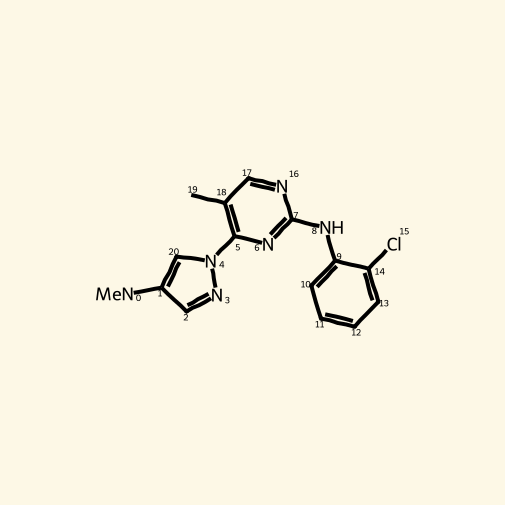 CNc1cnn(-c2nc(Nc3ccccc3Cl)ncc2C)c1